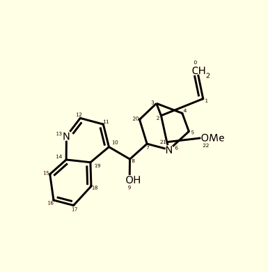 C=CC1C2CCN(C(C(O)c3ccnc4ccccc34)C2)C1OC